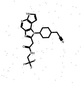 N#CCC1CCC(n2c(CC(=O)NCC(F)(F)F)nc3cnc4[nH]ccc4c32)CC1